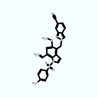 C=Cc1cc(OC)c(Cn2cc3ccc(C#N)cc3n2)c2ccn(S(=O)(=O)c3ccc(C)cc3)c12